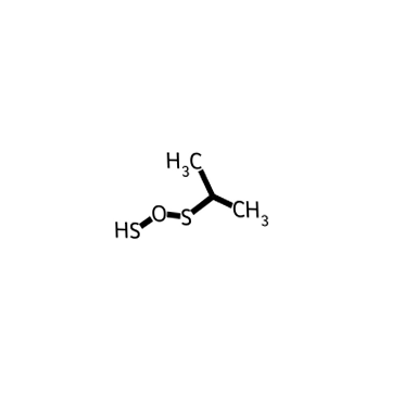 CC(C)SOS